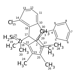 CCC1=C(c2ccccc2)c2cccc(Cl)c2[CH]1[Zr]([CH3])([CH3])(=[SiH2])[C]1=C(C)C(C)=C(C)C1C